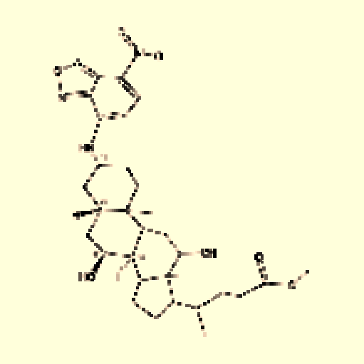 COC(=O)CCC(C)C1CCC2[C@@H]3C(CC(O)C12C)C1(C)CC[C@@H](Nc2ccc([N+](=O)[O-])c4nonc24)C[C@H]1C[C@@H]3O